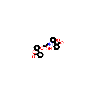 O=c1oc2cccc(OCC(O)CNc3cccc4oc(=O)c5ccccc5c34)c2c2c1CCCC2